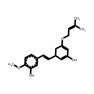 COc1ccc(C=CC2C=C(O)C=C(OCC=C(C)C)C2)cc1O